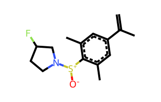 C=C(C)c1cc(C)c([S+]([O-])N2CCC(F)C2)c(C)c1